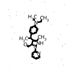 CCN(CC)c1ccc(C(C)C2=C(C)NN(c3ccccn3)C2C=O)cc1